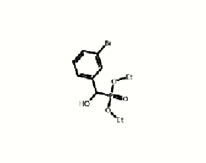 CCOP(=O)(OCC)C(O)c1cccc(Br)c1